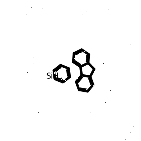 [SiH4].c1ccc2c(c1)Cc1ccccc1-2.c1ccccc1